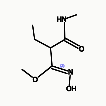 CCC(C(=O)NC)/C(=N/O)OC